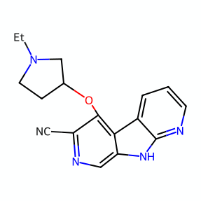 CCN1CCC(Oc2c(C#N)ncc3[nH]c4ncccc4c23)C1